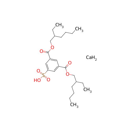 CCCCC(CC)COC(=O)c1cc(C(=O)OCC(CC)CCCC)cc(S(=O)(=O)O)c1.[CaH2]